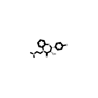 CN(C)CCN1C(=O)[C@@H](O)[C@@H](c2ccc(Cl)cc2)Sc2ccccc21